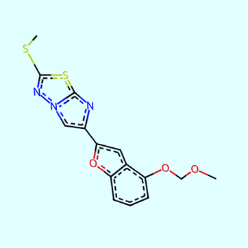 COCOc1cccc2oc(-c3cn4nc(SC)sc4n3)cc12